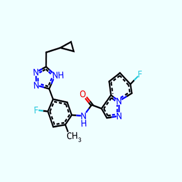 Cc1cc(F)c(-c2nnc(CC3CC3)[nH]2)cc1NC(=O)c1cnn2cc(F)ccc12